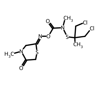 CN1CC(=NOC(=O)N(C)SC(C)(CCl)CCl)SCC1=O